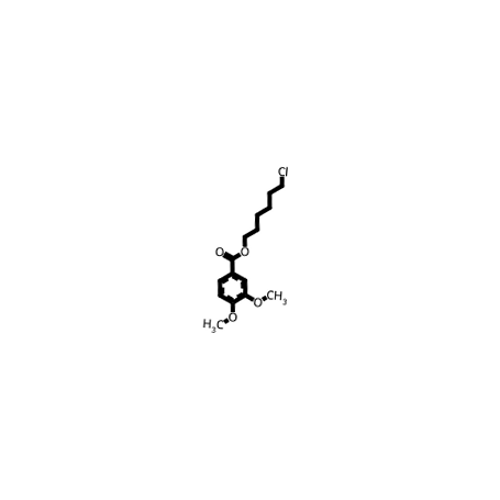 COc1ccc(C(=O)OCCCCCCCl)cc1OC